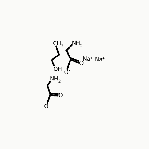 CCCO.NCC(=O)[O-].NCC(=O)[O-].[Na+].[Na+]